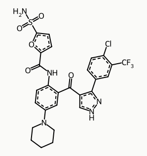 NS(=O)(=O)c1ccc(C(=O)Nc2ccc(N3CCCCC3)cc2C(=O)c2c[nH]nc2-c2ccc(Cl)c(C(F)(F)F)c2)o1